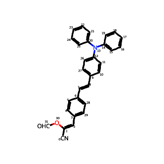 N#C/C(=C/c1ccc(/C=C/c2ccc(N(c3ccccc3)c3ccccc3)cc2)cc1)OC=O